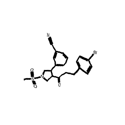 CS(=O)(=O)N1CC(C(=O)CCc2ccc(Br)cc2)C(c2cccc(C#N)c2)C1